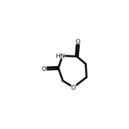 O=C1[CH]OCCC(=O)N1